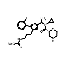 COC(=O)NCCCc1cc([C@@H](C)N(C(=O)[C@H]2CNCCO2)C2CC2)sc1-c1ccccc1F